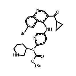 CC(C)(C)OC(=O)N(c1ccc(Nc2c(C(=O)C3CC3)cnc3ccc(Br)cc23)cn1)[C@@H]1CCCNC1